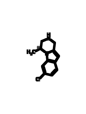 C[C@H]1CNCc2cc3ccc(Cl)cc3n21